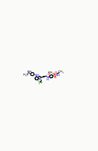 CCC(=O)NS(=O)(=O)c1ccc(NCC#Cc2cc3c(N[C@H]4CC[C@H](N(C)C)CC4)cccc3n2CC(F)(F)F)c(OC)c1